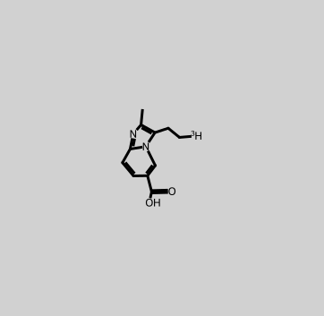 [3H]CCc1c(C)nc2ccc(C(=O)O)cn12